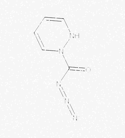 [N-]=[N+]=NC(=O)N1C=CC=CN1